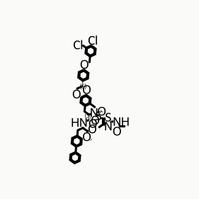 COC(=O)C(Cc1ccc(-c2ccccc2)cc1)NC(=O)[C@@H]1Cc2cc3c(cc2CN1S(=O)(=O)c1sc(NC(C)=O)nc1C)O[C@@H](c1ccc(OCc2ccc(Cl)c(Cl)c2)cc1)CO3